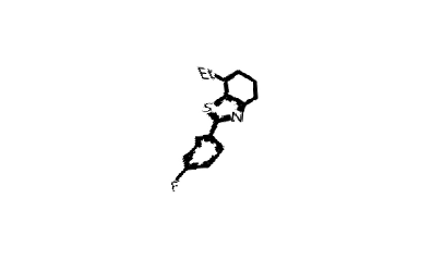 CCC1CCCc2nc(-c3ccc(F)cc3)sc21